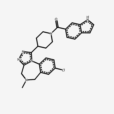 CN1Cc2cc(Cl)ccc2-n2c(nnc2C2CCN(C(=O)c3ccc4cc[nH]c4c3)CC2)C1